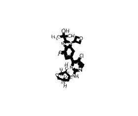 CC(C)(O)c1nc2c(F)cc(-c3nc(N[C@@H]4C[C@H]5CO[C@H](O5)[C@H]4O)ncc3Cl)cc2n1C1COC1